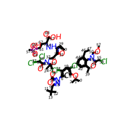 CC(C)Oc1cc(-n2nc(C(C)(C)C)oc2=O)c(Cl)cc1Cl.CC1(C)OC(c2ccco2)CN1C(=O)C(Cl)Cl.CCc1cccc(CC)c1N(COC)C(=O)CCl.CP(=O)(O)CCC(N)C(=O)O